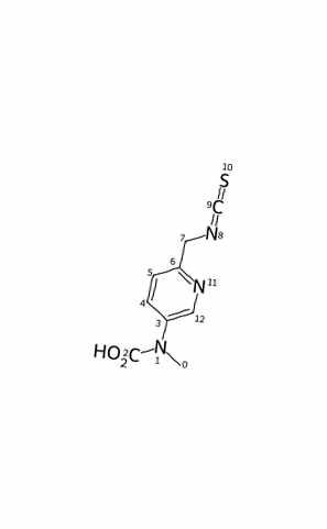 CN(C(=O)O)c1ccc(CN=C=S)nc1